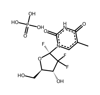 Cc1cn([C@]2(F)O[C@H](CO)[C@@H](O)C2(F)F)c(=O)[nH]c1=O.O=P(O)(O)O